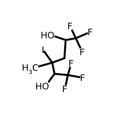 CC(I)(CC(O)C(F)(F)F)C(O)C(F)(F)F